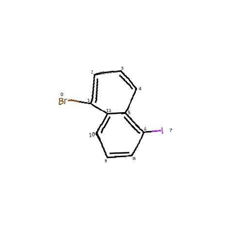 Brc1cccc2c(I)cccc12